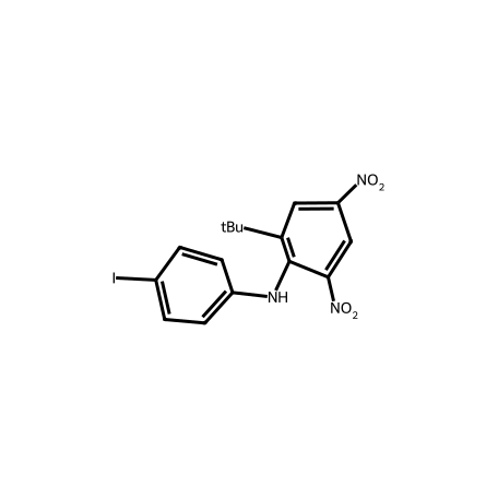 CC(C)(C)c1cc([N+](=O)[O-])cc([N+](=O)[O-])c1Nc1ccc(I)cc1